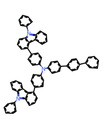 c1ccc(-c2ccc(-c3ccc(N(c4ccc(-c5cccc6c5c5ccccc5n6-c5ccccc5)cc4)c4ccc(-c5cccc6c5c5ccccc5n6-c5ccccc5)cc4)cc3)cc2)cc1